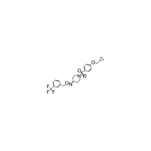 O=S(=O)(c1ccc(OCC2CC2)cc1)N1CCC(=NOCc2cccc(C(F)(F)F)c2)CC1